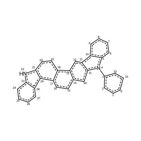 c1ccc(-n2c3ccccc3c3cc4c(ccc5c4ccc4[nH]c6ccccc6c45)cc32)cc1